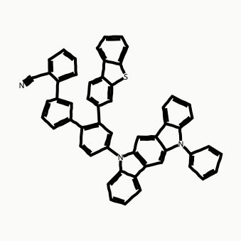 N#Cc1ccccc1-c1cccc(-c2ccc(-n3c4ccccc4c4cc5c(cc43)c3ccccc3n5-c3ccccc3)cc2-c2ccc3c(c2)sc2ccccc23)c1